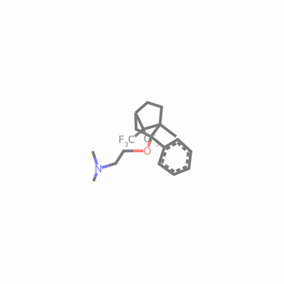 CN(C)CCOC1(c2ccccc2)CC2CCC1(C)C2(C(F)(F)F)C(F)(F)F